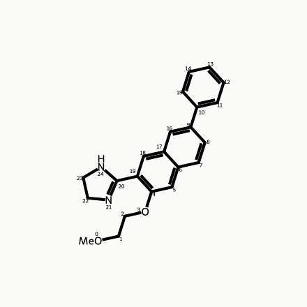 COCCOc1cc2ccc(-c3ccccc3)cc2cc1C1=NCCN1